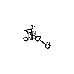 Cc1cc(Br)c2nc(-c3ccc(C#Cc4ccccn4)cc3)c(NC3CCCC3)n2c1